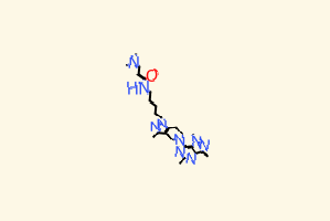 Cc1nc(N2CCc3c(c(C)nn3CCCCCNC(=O)CCN(C)C)C2)c2c(n1)c(C)nn2C